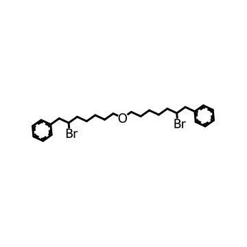 BrC(CCCCCOCCCCCC(Br)Cc1ccccc1)Cc1ccccc1